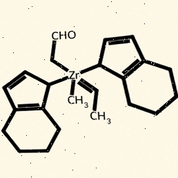 C[CH]=[Zr]([CH3])([CH2]C=O)([CH]1C=CC2=C1CCCC2)[CH]1C=CC2=C1CCCC2